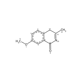 COc1ccc2c(c1)C(=O)N=C(C)C2